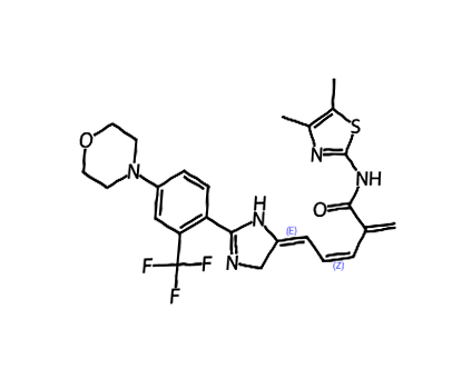 C=C(/C=C\C=C1/CN=C(c2ccc(N3CCOCC3)cc2C(F)(F)F)N1)C(=O)Nc1nc(C)c(C)s1